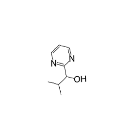 CC(C)C(O)c1ncccn1